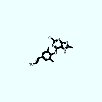 Cc1nc2nc(Cl)nc(Oc3c(C)cc(/C=C/C#N)cc3C)c2[nH]1